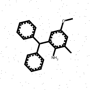 COc1cc(C)c(N)c(C(c2ccccc2)c2ccccc2)c1